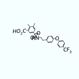 Cc1cc(S(=O)(=O)NCCc2ccc(Oc3ccc(C(F)(F)F)cc3)cc2)cc(C(=O)O)c1C